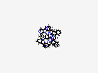 N#Cc1c(-n2c3ccccc3c3ccncc32)c(-n2c3ccccc3c3ccncc32)c(-c2nc(-c3ccccc3)cc(-c3ccccc3)n2)c(-n2c3ccccc3c3ccncc32)c1-n1c2ccccc2c2ccncc21